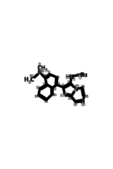 CCCCNc1c(-c2ccc(N(C)C)c3ccccc23)nc2cnccn12